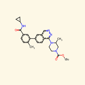 Cc1ccc(C(=O)NC2CC2)cc1-c1ccc2c(N3CCN(C(=O)OC(C)(C)C)CC3C)nncc2c1